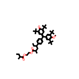 CCC(C)C(=O)OCCOC(=O)C(C)CC(CC)c1ccc(C(=C2C=C(C(C)(C)C)C(=O)C(C(C)(C)C)=C2)c2cc(C(C)(C)C)c(OC)c(C(C)(C)C)c2)cc1